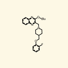 CC(C)(C)Oc1nc2ccccc2nc1CN1CCC(COc2ccccc2F)CC1